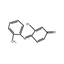 CCC1=CC(=O)C=C/C1=N/c1ccccc1C